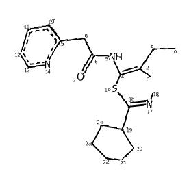 CC/C(C)=C(\NC(=O)Cc1ccccn1)S/C(=N\C)C1CCCCC1